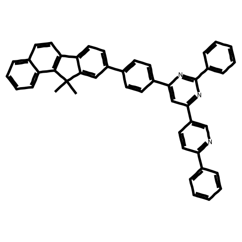 CC1(C)c2cc(-c3ccc(-c4cc(-c5ccc(-c6ccccc6)nc5)nc(-c5ccccc5)n4)cc3)ccc2-c2ccc3ccccc3c21